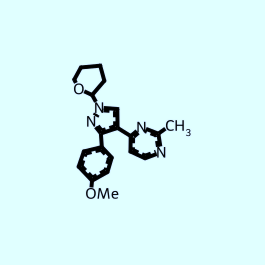 COc1ccc(-c2nn(C3CCCCO3)cc2-c2ccnc(C)n2)cc1